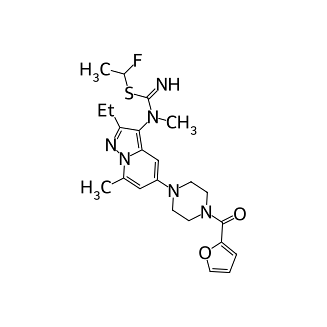 CCc1nn2c(C)cc(N3CCN(C(=O)c4ccco4)CC3)cc2c1N(C)C(=N)SC(C)F